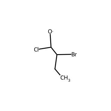 CCC(Br)C([O])Cl